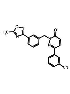 Cc1nc(-c2cccc(Cn3nc(-c4cccc(C#N)c4)ccc3=O)c2)no1